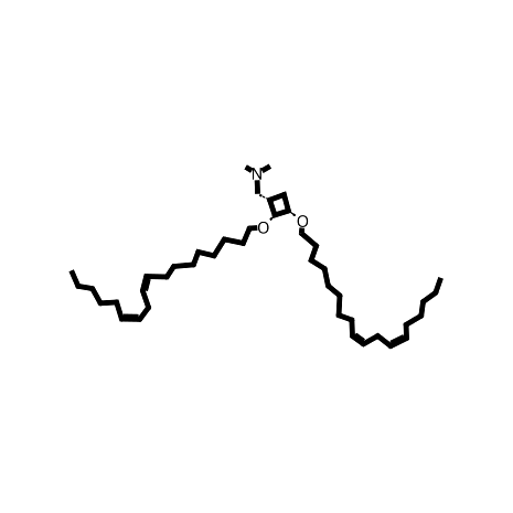 CCCCC/C=C\C/C=C\CCCCCCCCO[C@@H]1[C@H](CN(C)C)C[C@@H]1OCCCCCCCC/C=C\C/C=C\CCCCC